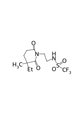 CCC1(C)CCC(=O)N(CCNS(=O)(=O)C(F)(F)F)C1=O